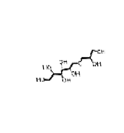 OCC(O)COC[C@H](O)[C@@H](O)[C@@H](O)[C@H](O)CO